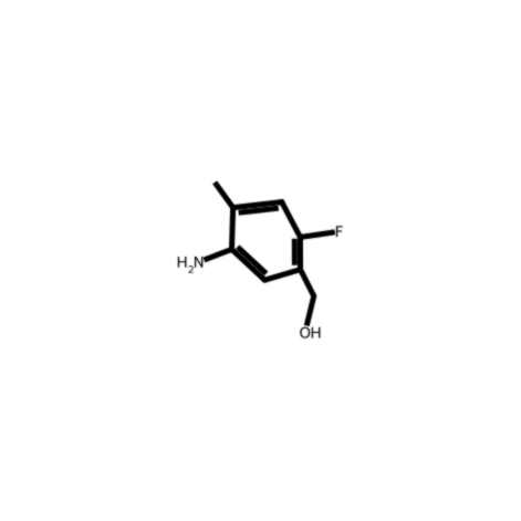 Cc1cc(F)c(CO)cc1N